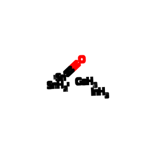 [GaH3].[InH3].[O]=[Sn].[SnH2]